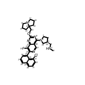 CNC[C@@H]1CCN(c2nc(OCC34CCCN3CCC4)nc3c(F)c(-c4cccc5cccc(Cl)c45)ncc23)C1